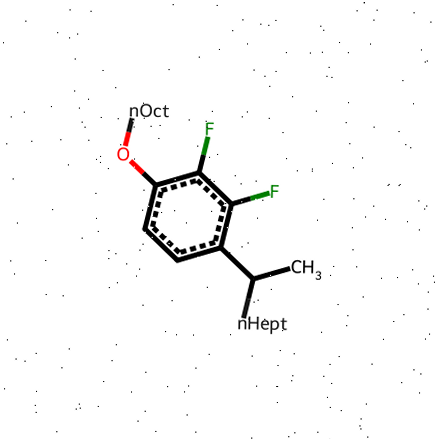 CCCC[CH]CCC(C)c1ccc(OCCCCCCCC)c(F)c1F